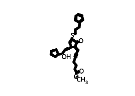 COC(=O)CCCC#CC=C1C(=O)C(SCCCc2ccccc2)=CC1C=CC(O)C1CCCC1